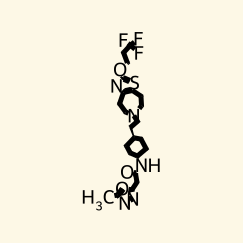 Cc1nnc(CC(=O)N[C@H]2CC[C@H](CCN3CCc4nc(OCCC(F)(F)F)sc4CC3)CC2)o1